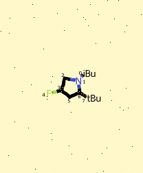 CCC(C)N1CC(F)CC1C(C)(C)C